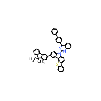 CC1(C)c2ccccc2-c2cc(-c3ccc4c(c3)c3c5sc6ccccc6c5ccc3n4-c3nc(-c4ccc(-c5ccccc5)cc4)c4ccccc4n3)ccc21